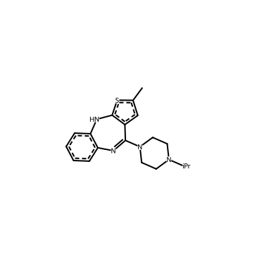 Cc1cc2c(s1)Nc1ccccc1N=C2N1CCN(C(C)C)CC1